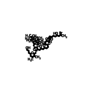 C=C(Br)CC(O)CCC12CC3OC4C(O1)[C@H]1OC(CC(=O)CC5[C@H](CC6OC(CCCO)CC(C)C6=C)O[C@H](CC(CO[Si](C)(C)C(C)(C)C)O[Si](C)(C)C(C)(C)C)[C@@H]5OC)CCC1O[C@H]4C3O2